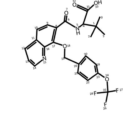 CC(C)(C)C(NC(=O)c1ccc2cccnc2c1OCc1ccc(OC(F)(F)F)cc1)C(=O)O